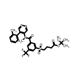 Cc1ccccc1-c1cnncc1N(C)C(=O)c1cc(C(F)(F)F)cc(S(=O)(=O)CCCC(=O)OC(C)(C)C)c1